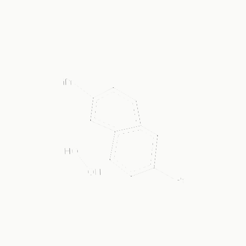 CC(C)c1ccc2cc(C(C)C)ccc2c1.OO